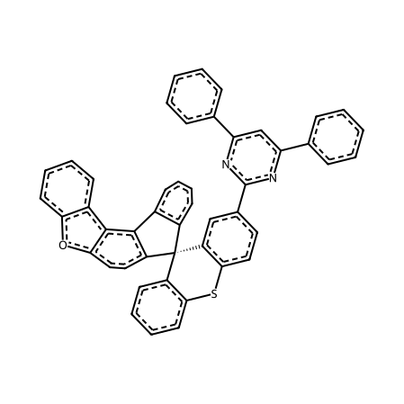 c1ccc(-c2cc(-c3ccccc3)nc(-c3ccc4c(c3)[C@@]3(c5ccccc5S4)c4ccccc4-c4c3ccc3oc5ccccc5c43)n2)cc1